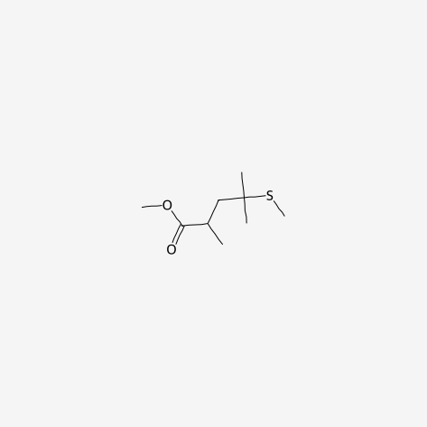 COC(=O)C(C)CC(C)(C)SC